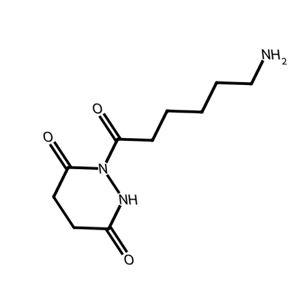 NCCCCCC(=O)N1NC(=O)CCC1=O